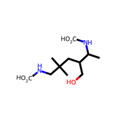 CC(NC(=O)O)C(CO)CC(C)(C)CNC(=O)O